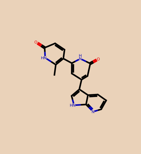 Cc1[nH]c(=O)ccc1-c1cc(-c2c[nH]c3ncccc23)cc(=O)[nH]1